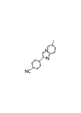 Cc1ccc2nc(-c3ccc(C#N)cc3)cn2c1